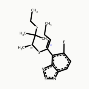 CC/C=C(\S[C@@H](C)C(C)(C)SCC)c1c(F)ccc2nsnc12